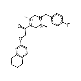 C[C@@H]1CN(Cc2ccc(F)cc2)[C@@H](C)CN1C(=O)COc1ccc2c(c1)CCCC2